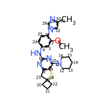 COc1cc(Nc2nc3c(c(N4CCCCC4)n2)SC2(CCC2)C3)ccc1-n1cnc(C)c1